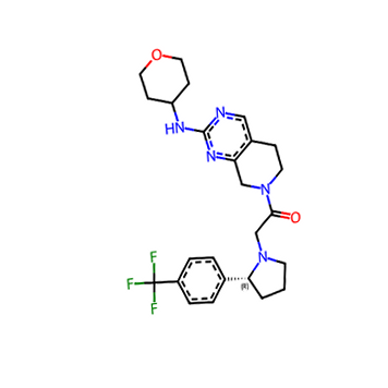 O=C(CN1CCC[C@@H]1c1ccc(C(F)(F)F)cc1)N1CCc2cnc(NC3CCOCC3)nc2C1